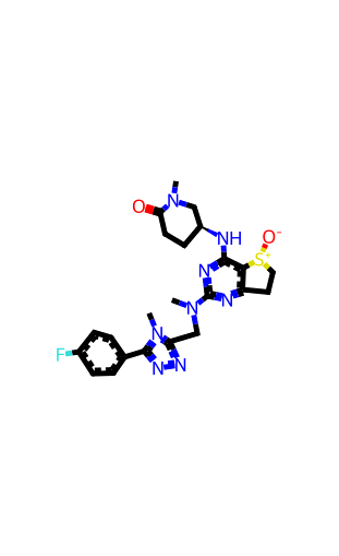 CN1C[C@@H](Nc2nc(N(C)Cc3nnc(-c4ccc(F)cc4)n3C)nc3c2[S+]([O-])CC3)CCC1=O